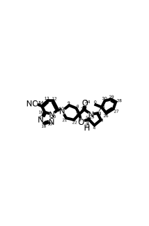 CC1([C@@H]2CC[C@H]3OC4(CCN(c5ccc(C#N)c6ncnn56)CC4)C(=O)N23)C=CC=CC1